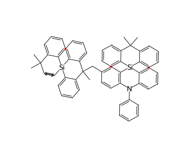 CC1(C)c2ccccc2[Si]2(c3ccccc3N(c3ccccc3)c3ccc(CC4(C)c5ccccc5[Si]5(c6ccccc6C(C)(C)c6ccccc65)c5ccccc54)cc32)c2ccccc21